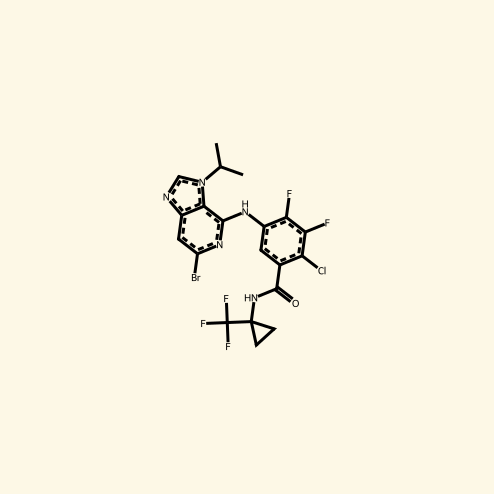 CC(C)n1cnc2cc(Br)nc(Nc3cc(C(=O)NC4(C(F)(F)F)CC4)c(Cl)c(F)c3F)c21